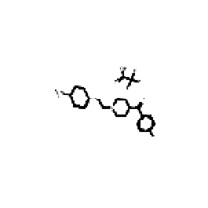 N[C@H]1CC[C@H](CCN2CCC(C(=O)c3ccc(F)cc3)CC2)CC1.O=C(O)C(F)(F)F